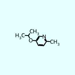 Cc1ccc(OC(C)C)cn1